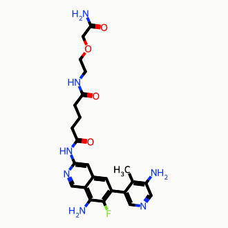 Cc1c(N)cncc1-c1cc2cc(NC(=O)CCCC(=O)NCCOCC(N)=O)ncc2c(N)c1F